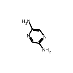 Nc1cnc(N)cn1